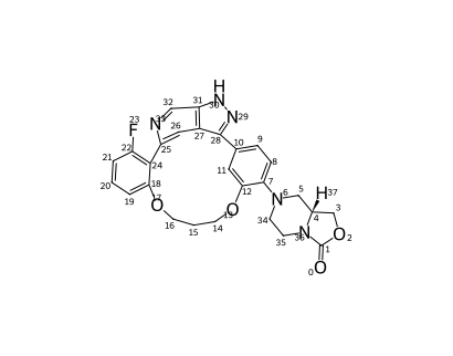 O=C1OC[C@H]2CN(c3ccc4cc3OCCCOc3cccc(F)c3-c3cc5c-4n[nH]c5cn3)CCN12